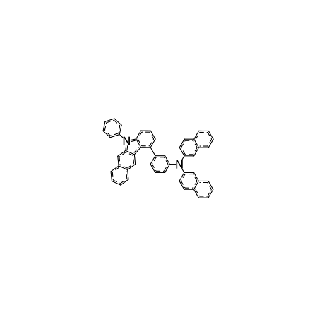 c1ccc(-n2c3cc4ccccc4cc3c3c(-c4cccc(N(c5ccc6ccccc6c5)c5ccc6ccccc6c5)c4)cccc32)cc1